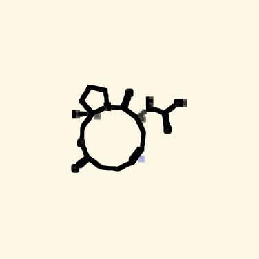 O=C(O)N[C@@H]1C/C=C\CCC(=O)OC[C@@H]2CCCN2C1=O